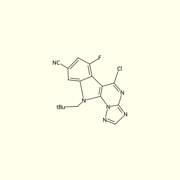 CC(C)(C)Cn1c2cc(C#N)cc(F)c2c2c(Cl)nc3ncnn3c21